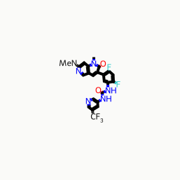 CNc1cc2c(cn1)cc(-c1cc(NC(=O)Nc3cncc(C(F)(F)F)c3)c(F)cc1F)c(=O)n2C